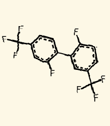 Fc1[c]cc(C(F)(F)F)cc1-c1ccc(C(F)(F)F)cc1F